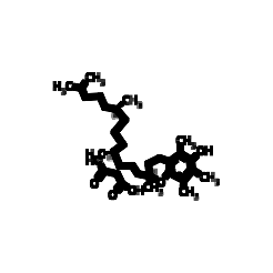 Cc1c(C)c2c(c(C)c1O)CC[C@@](C)(CCC[C@H](C)CCC[C@H](C)CCCC(C)C)O2.O=C(O)CC(=O)O